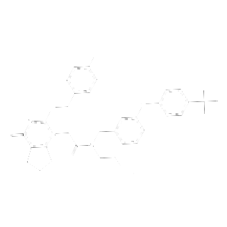 CCCN(Cc1cccc(Oc2ccc(C(F)(F)F)cc2)c1)C(=O)Cn1c(SCc2ccc(F)cc2)nc(=O)c2c1CCC2